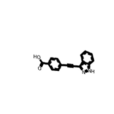 O=C(O)c1ccc(C#Cc2n[nH]c3ccccc23)cc1